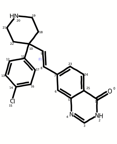 O=c1[nH]cnc2cc(/C=C/C3(c4ccc(Cl)cc4)CCNCC3)ccc12